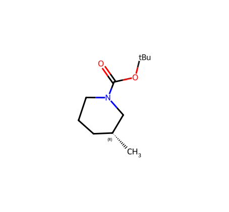 C[C@@H]1CCCN(C(=O)OC(C)(C)C)C1